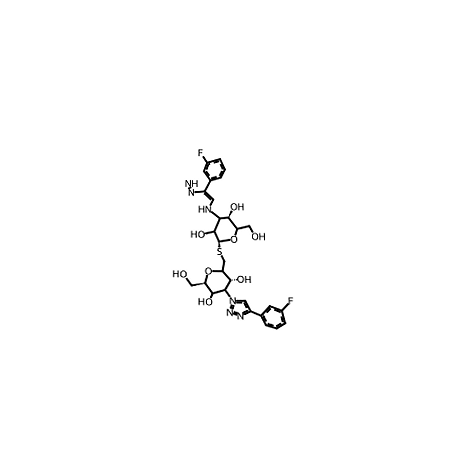 N=N/C(=C\NC1C(O)[C@H](SCC2O[C@H](CO)C(O)C(n3cc(-c4cccc(F)c4)nn3)[C@H]2O)OC(CO)[C@@H]1O)c1cccc(F)c1